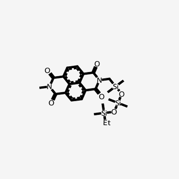 CC[Si](C)(C)O[Si](C)(C)O[Si](C)(C)CN1C(=O)c2ccc3c4c(ccc(c24)C1=O)C(=O)N(C)C3=O